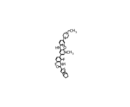 CCN1CCN(c2ccc(Nc3cc(-c4ccc(F)c(NC(=O)c5cc6c(s5)C5CCC6C5)c4F)cn(C)c3=O)nc2)CC1